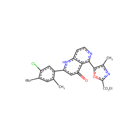 CCOC(=O)c1nc(C)c(-c2nccc3[nH]c(-c4cc(Cl)c(C(C)(C)C)cc4C)cc(=O)c23)o1